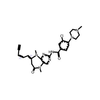 C#C/C=C\C=C1/CC(=O)N(C)c2cnc(NC(=O)c3ccc(N4CCN(C)CC4)c(Cl)c3)nc2N1C